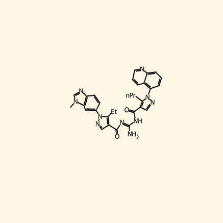 CCCc1c(C(=O)NC(N)=NC(=O)c2cnn(-c3ccc4ncn(C)c4c3)c2CC)cnn1-c1cccc2ncccc12